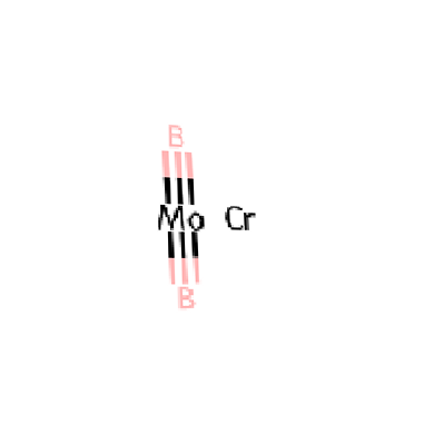 [B]#[Mo]#[B].[Cr]